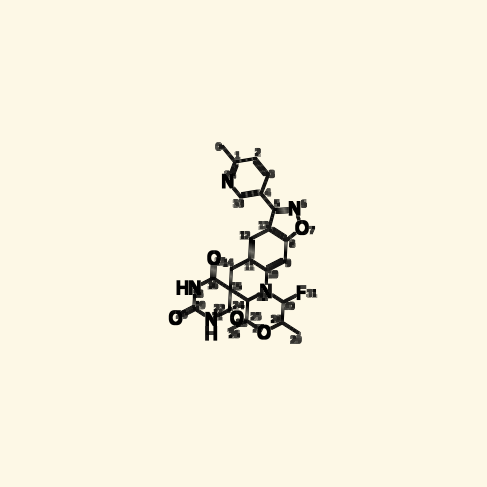 Cc1ccc(-c2noc3cc4c(cc23)CC2(C(=O)NC(=O)NC2=O)C2C(C)OC(C)C(F)N42)cn1